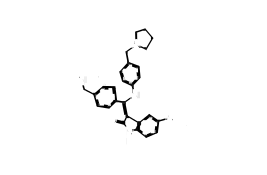 CC(=O)NCc1ccc(C(Nc2ccc(CN3CCCC3)cc2)=C2C(=O)Nc3ccc([N+](=O)[O-])cc32)cc1